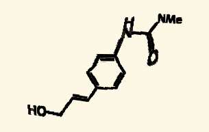 CNC(=O)Nc1ccc(/C=C/CO)cc1